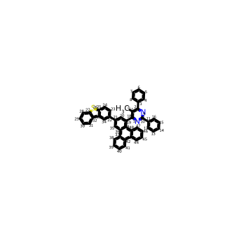 Cc1c(-c2ccccc2)nc(-c2ccccc2)nc1-c1cc(-c2ccc3sc4ccccc4c3c2)cc2c3ccccc3c3ccccc3c12